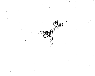 C[C@@H]1C[C@@H]1COc1cc(N2CCC(c3n[nH]c4ncccc34)CC2)nc(C(=O)NC2CC3CC2C3)n1